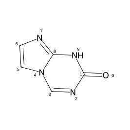 O=c1ncn2ccnc2[nH]1